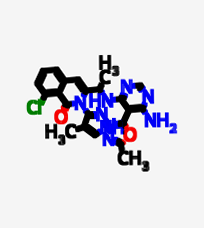 Cc1nnc(-c2c(N)ncnc2NC(C)c2cc3cccc(Cl)c3c(=O)n2-c2n[nH]cc2C)o1